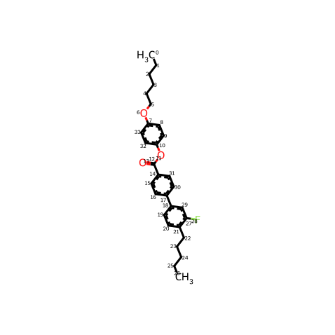 CCCCCCOc1ccc(OC(=O)c2ccc(-c3ccc(CCCCC)c(F)c3)cc2)cc1